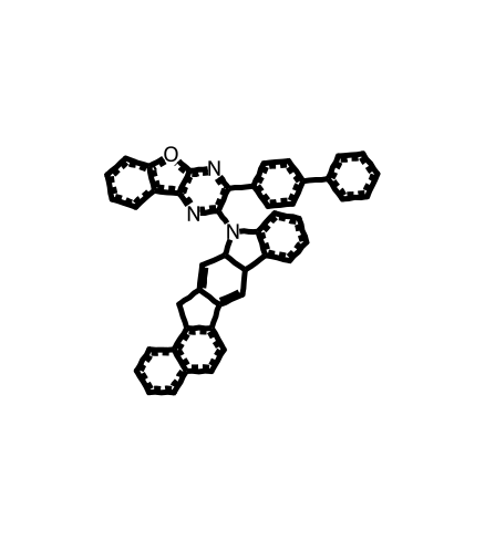 C1=C2Cc3c(ccc4ccccc34)C2=CC2c3ccccc3N(c3nc4c(nc3-c3ccc(-c5ccccc5)cc3)oc3ccccc34)C12